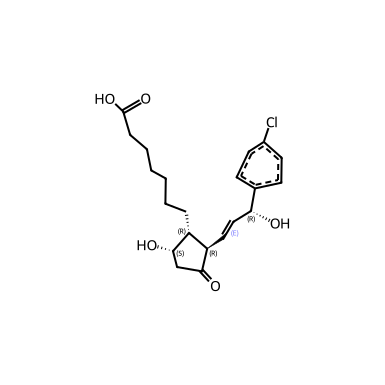 O=C(O)CCCCCC[C@H]1[C@@H](O)CC(=O)[C@@H]1/C=C/[C@@H](O)c1ccc(Cl)cc1